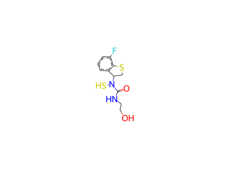 O=C(NCCO)N(S)C1CSc2c(F)cccc21